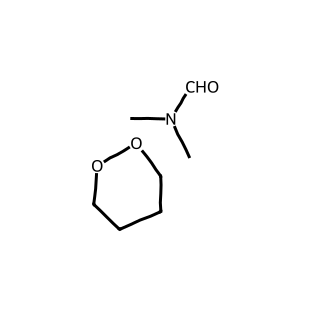 C1CCOOC1.CN(C)C=O